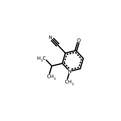 CC(C)c1c(C#N)c(=O)ccn1C